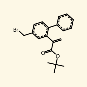 C=C(C(=O)OC(C)(C)C)c1cc(CBr)ccc1-c1ccccc1